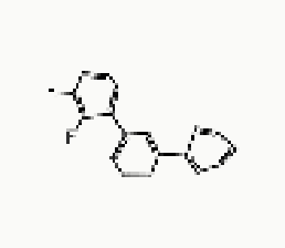 Fc1cccc(-c2cccc(-c3ccccc3)c2)c1F